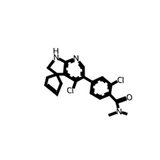 CN(C)C(=O)c1ccc(-c2cnc3c(c2Cl)C2(CC=CC2)CN3)cc1Cl